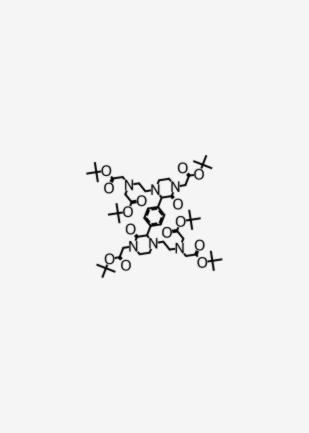 CC(C)(C)OC(=O)CN(CCN1CCN(CC(=O)OC(C)(C)C)C(=O)C1c1ccc(C2C(=O)N(CC(=O)OC(C)(C)C)CCN2CCN(CC(=O)OC(C)(C)C)CC(=O)OC(C)(C)C)cc1)CC(=O)OC(C)(C)C